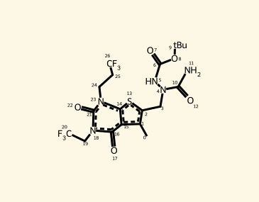 Cc1c(CN(NC(=O)OC(C)(C)C)C(N)=O)sc2c1c(=O)n(CC(F)(F)F)c(=O)n2CCC(F)(F)F